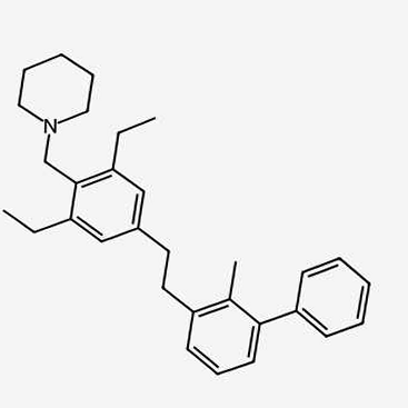 CCc1cc(CCc2cccc(-c3ccccc3)c2C)cc(CC)c1CN1CCCCC1